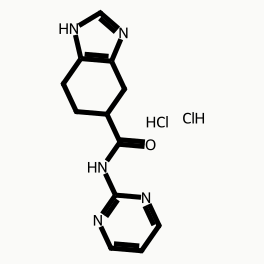 Cl.Cl.O=C(Nc1ncccn1)C1CCc2[nH]cnc2C1